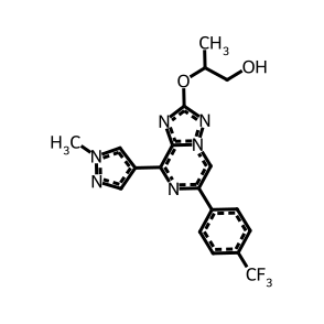 CC(CO)Oc1nc2c(-c3cnn(C)c3)nc(-c3ccc(C(F)(F)F)cc3)cn2n1